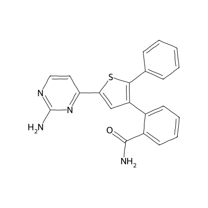 NC(=O)c1ccccc1-c1cc(-c2ccnc(N)n2)sc1-c1ccccc1